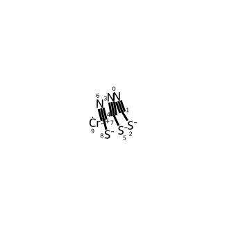 N#C[S-].N#C[S-].N#C[S-].[Cr+3]